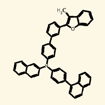 Cc1c(-c2cccc(-c3ccc(N(c4ccc(-c5cccc6ccccc56)cc4)c4ccc5ccccc5c4)cc3)c2)oc2ccccc12